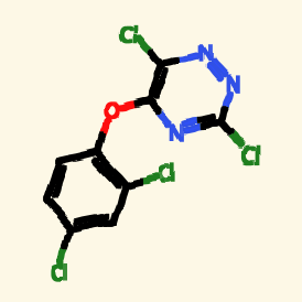 Clc1ccc(Oc2nc(Cl)nnc2Cl)c(Cl)c1